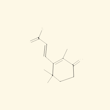 CCC(=O)C=CC1=C(C)C(=O)CCC1(C)C